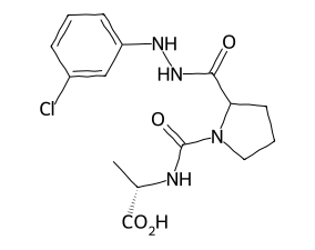 C[C@H](NC(=O)N1CCCC1C(=O)NNc1cccc(Cl)c1)C(=O)O